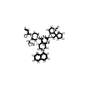 C=CC(=O)N1CCN(c2nc(OCC3(C4CCCN4C)CCCC3)nc3c2CCN(c2cccc4ccccc24)C3)C[C@@H]1CC#N